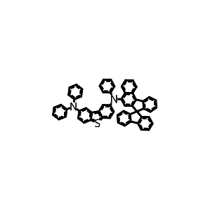 c1ccc(N(c2ccccc2)c2ccc3sc4ccc(N(c5ccccc5)c5cc6c(c7ccccc57)-c5ccccc5C65c6ccccc6-c6ccccc65)cc4c3c2)cc1